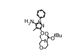 Cc1c(OC[C@@H]2COCCN2C(=O)OC(C)(C)C)nn(-c2ccccc2)c1N